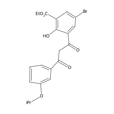 CCOC(=O)c1cc(Br)cc(C(=O)CC(=O)c2cccc(OC(C)C)c2)c1O